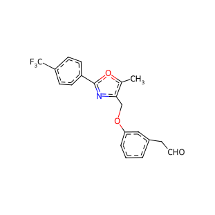 Cc1oc(-c2ccc(C(F)(F)F)cc2)nc1COc1cccc(CC=O)c1